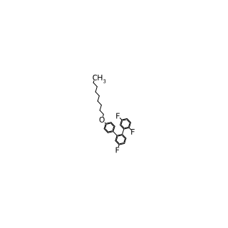 CCCCCCCCCOc1ccc(-c2cc(F)ccc2-c2cc(F)ccc2F)cc1